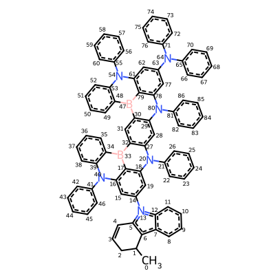 CC1CC=Cc2c1c1ccccc1n2-c1cc2c3c(c1)N(c1ccccc1)c1cc4c(cc1B3c1ccccc1N2c1ccccc1)B1c2ccccc2N(c2ccccc2)c2cc(N(c3ccccc3)c3ccccc3)cc(c21)N4c1ccccc1